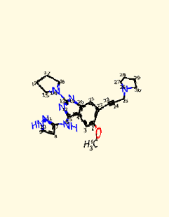 COc1cc2c(Nc3cc[nH]n3)nc(N3CCCC3)nc2cc1C#CCN1CCCC1